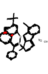 Cc1cc([O][Ti](=[C](c2ccccc2)c2ccccc2)[C]2(C)C=CC=C3C2=Cc2c(C)cccc23)cc(C(C)(C)C)c1.Cl.Cl